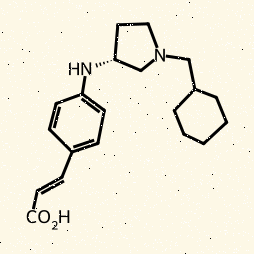 O=C(O)C=Cc1ccc(N[C@@H]2CCN(CC3CCCCC3)C2)cc1